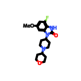 COc1cc(F)c2[nH]c(=O)n(C3CCN(C4CCOCC4)CC3)c2c1